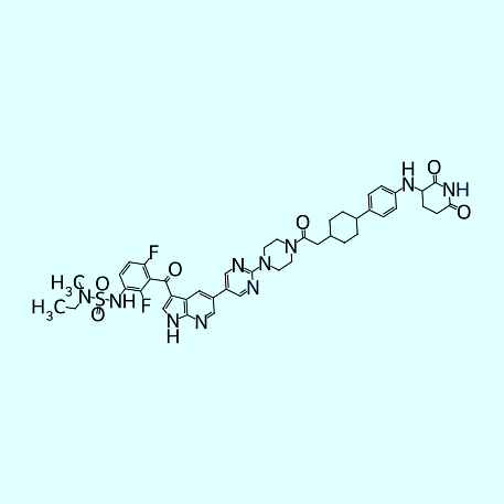 CCN(C)S(=O)(=O)Nc1ccc(F)c(C(=O)c2c[nH]c3ncc(-c4cnc(N5CCN(C(=O)CC6CCC(c7ccc(NC8CCC(=O)NC8=O)cc7)CC6)CC5)nc4)cc23)c1F